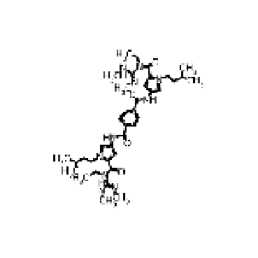 CCN(C(=O)c1cc(NC(=O)c2ccc(C(=O)Nc3cc(C(=O)N(CC)C(=NC)NC)n(CCC(C)C)c3)cc2)cn1CCC(C)C)C(=NC)NC